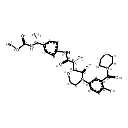 C[C@@H](NC(=O)OC(C)(C)C)c1ccc(NC(=O)[C@H](O)[C@H]2OCCN(c3ccc(F)c(C(=O)N4CCOCC4)c3)C2=O)cc1